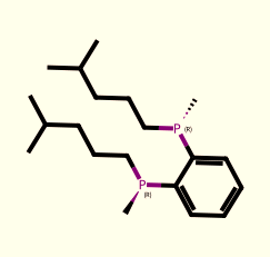 CC(C)CCC[P@](C)c1ccccc1[P@@](C)CCCC(C)C